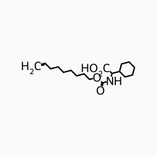 C=CCCCCCCCOC(=O)NC(C(=O)O)C1CCCCC1